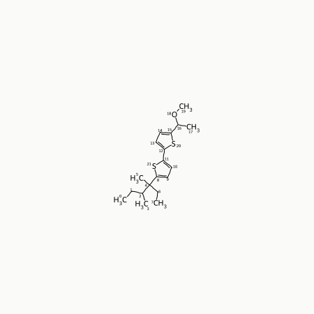 CCC(C)C(C)(CC)c1ccc(-c2ccc(C(C)OC)s2)s1